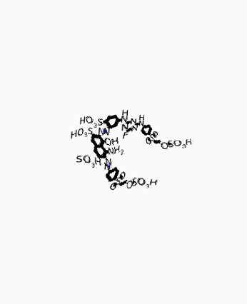 Nc1c(/N=N/c2ccc(S(=O)(=O)CCOS(=O)(=O)O)cc2)c(S(=O)(=O)O)cc2cc(S(=O)(=O)O)c(/N=N/c3cc(Nc4nc(F)nc(Nc5ccc(S(=O)(=O)CCOS(=O)(=O)O)cc5)n4)ccc3S(=O)(=O)O)c(O)c12